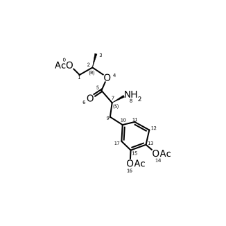 CC(=O)OC[C@@H](C)OC(=O)[C@@H](N)Cc1ccc(OC(C)=O)c(OC(C)=O)c1